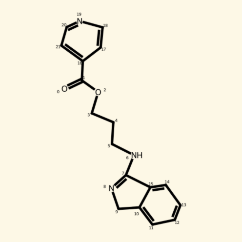 O=C(OCCCNC1=NCc2ccccc21)c1ccncc1